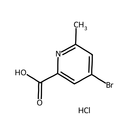 Cc1cc(Br)cc(C(=O)O)n1.Cl